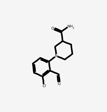 NC(=O)C1CCCN(c2cccc(Cl)c2C=O)C1